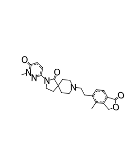 Cc1c(CCN2CCC3(CC2)CCN(c2ccc(=O)n(C)n2)C3=O)ccc2c1COC2=O